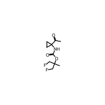 CC(=O)C1(NC(=O)OC(C)(CF)CF)CC1